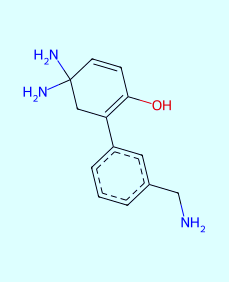 NCc1cccc(C2=C(O)C=CC(N)(N)C2)c1